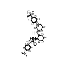 CN(C)c1ccc(NC(=O)N[C@@H]2CCCC[C@H]2N[C@H]2CCCN(c3ccc(C(F)(F)F)cc3)C2)cc1